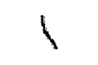 C=C(C)C(=O)OCOC(=O)Oc1ccc(/C=C/C(=O)Oc2ccc3c(c2)C(C)c2cc(OC(=O)/C=C/c4ccc(OC(=O)OCOC(=O)C(=C)C)cc4)ccc2-3)cc1